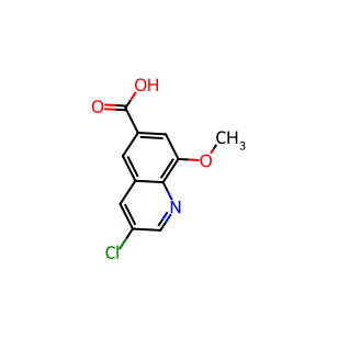 COc1cc(C(=O)O)cc2cc(Cl)cnc12